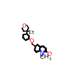 CCC1(c2cccc(OCc3ccc4c(ccc(=O)n4C)c3)c2)CCOCC1